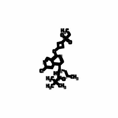 CCC[C@H](N[S@@+]([O-])C(C)(C)C)c1cnc(OC2CC(S(=O)(=O)CC)C2)c2cnc(Cl)cc12